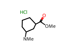 CNC1CCCC(C(=O)OC)C1.Cl